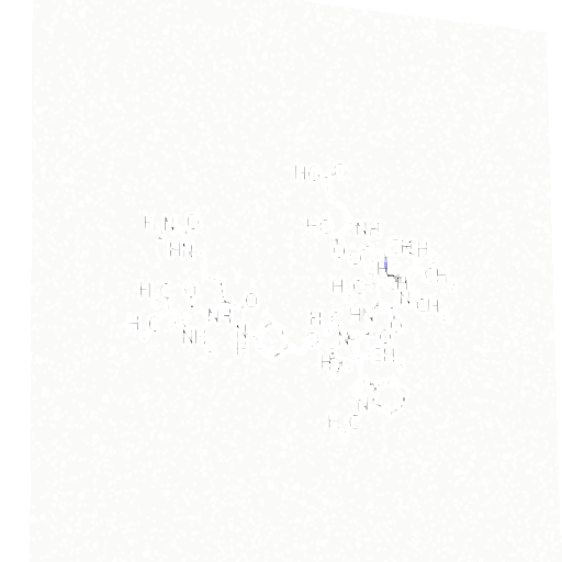 C/C(=C\[C@H](C(C)C)N(C)C(=O)[C@@H](NC(=O)[C@@H](N(C)C(=O)OCc1ccc(NC(=O)[C@H](CCCNC(N)=O)NC(=O)[C@@H](N)C(C)C)cc1)C(C)(C)c1cn(C)c2ccccc12)C(C)(C)C)C(=O)NC(CCC(=O)O)C(=O)O